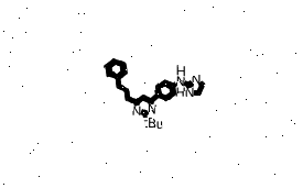 CC(C)(C)c1nc(CCCc2ccccc2)cc(-c2ccc(NC3=NCCN3)cc2)n1